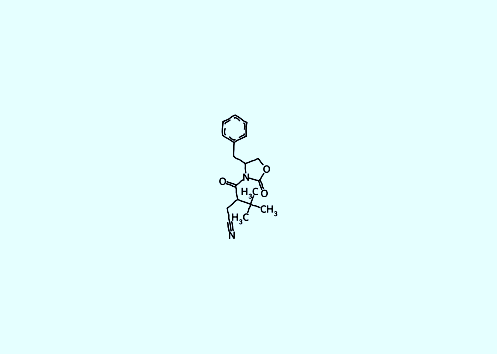 CC(C)(C)C(CC#N)C(=O)N1C(=O)OCC1Cc1ccccc1